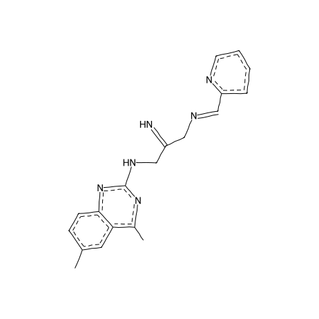 Cc1ccc2nc(NCC(=N)C/N=C/c3ccccn3)nc(C)c2c1